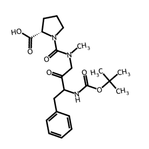 CN(CC(=O)C(Cc1ccccc1)NC(=O)OC(C)(C)C)C(=O)N1CCC[C@H]1C(=O)O